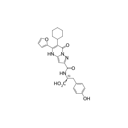 O=C(N[C@@H](Cc1ccc(O)cc1)C(=O)O)c1cc2[nH]c(-c3ccco3)c(C3CCCCC3)c(=O)n2n1